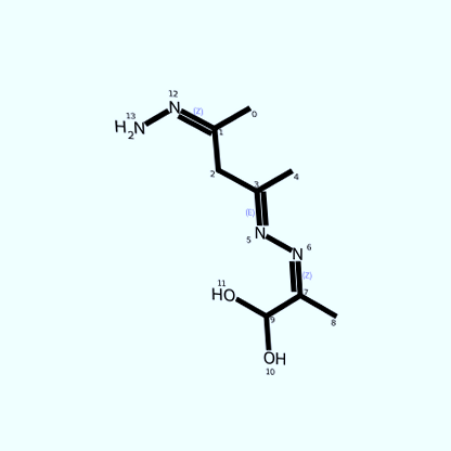 C/C(C/C(C)=N/N=C(/C)C(O)O)=N/N